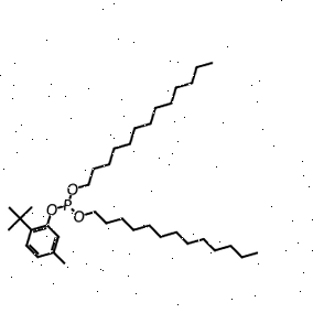 CCCCCCCCCCCCCOP(OCCCCCCCCCCCCC)Oc1cc(C)ccc1C(C)(C)C